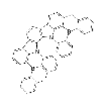 c1ccc2c(c1)Cc1cccc3c1B2c1cccc2c4ccc5c6ccc7c8c6n(c5c4n-3c12)-c1ccccc1B8c1ccccc1C7